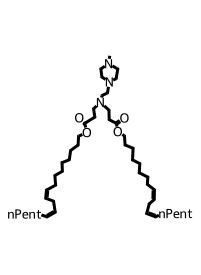 CCCCC/C=C\C/C=C\CCCCCCCCOC(=O)CCN(CCC(=O)OCCCCCCCC/C=C\C/C=C\CCCCC)CCN1CCN(C)CC1